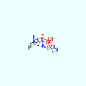 Cc1ccc2c3c(ccc2n1)OC[C@H](CNC[C@H]1CCc2[nH]c4ccc(F)cc4c2C1)O3.O=C(O)C=CC(=O)O